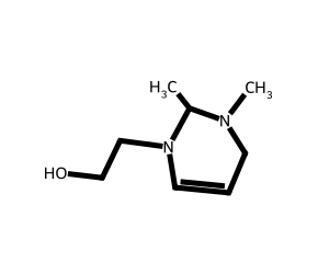 CC1N(C)CC=CN1CCO